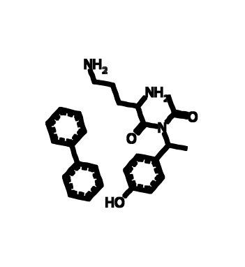 CC(=O)N(C(=O)C(N)CCCN)C(C)c1ccc(O)cc1.c1ccc(-c2ccccc2)cc1